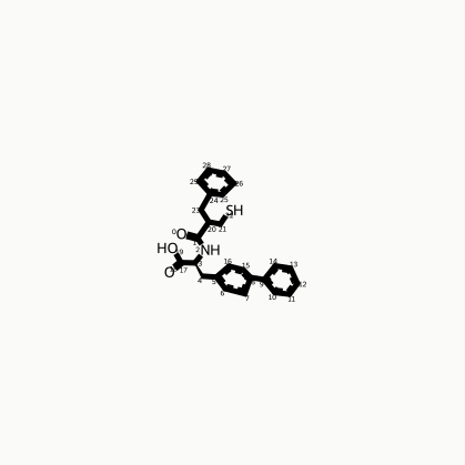 O=C(N[C@@H](Cc1ccc(-c2ccccc2)cc1)C(=O)O)C(CS)Cc1ccccc1